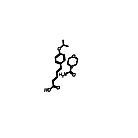 CC(C)Oc1ccc(/C=C/C=C/C(=O)O)cc1.NC(=O)N1CCOCC1